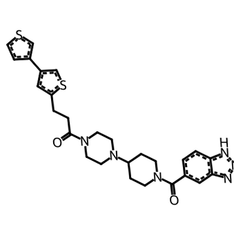 O=C(CCc1cc(-c2ccsc2)cs1)N1CCN(C2CCN(C(=O)c3ccc4[nH]nnc4c3)CC2)CC1